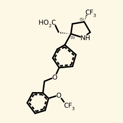 O=C(O)C[C@]1(c2ccc(OCc3ccccc3OC(F)(F)F)cc2)C[C@H](C(F)(F)F)CN1